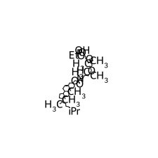 CCP(=O)(O)OCCOC(C)(C)CCOC(C)(C)CCCNC(=O)OC1CCC2(C)C(=CCC3C2CCC2(C)C(C(C)CCCC(C)C)CCC32)C1